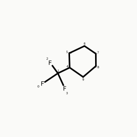 FC(F)(F)C1[CH]CC[CH]C1